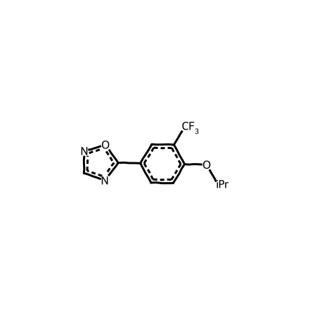 CC(C)Oc1ccc(-c2ncno2)cc1C(F)(F)F